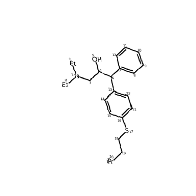 CCN(CC)CC(O)C(c1ccccc1)c1ccc(SCCC(C)C)cc1